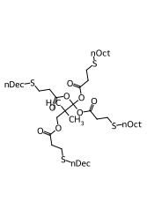 CCCCCCCCCCSCCC(=O)OCC(C)(C)C(OC(=O)CCSCCCCCCCC)(OC(=O)CCSCCCCCCCC)OC(=O)CCSCCCCCCCCCC